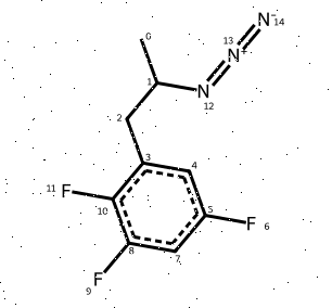 CC(Cc1cc(F)cc(F)c1F)N=[N+]=[N-]